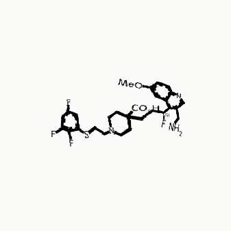 COc1ccc2ncc(CN)c([C@@H](F)CCC3(C(=O)O)CCN(CCSc4cc(F)cc(F)c4F)CC3)c2c1